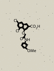 COc1cccc(NC(=O)COc2cc(C(=O)O)cc3cc(Cl)cc(Cl)c23)c1